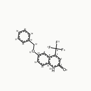 O=c1cc(C(F)(F)F)c2cc(OCc3ccccc3)ccc2[nH]1